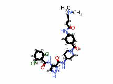 CN(C)CC=CC(=O)Nc1ccc(C(=O)N2CCC(NC(=O)c3n[nH]cc3NC(=O)c3c(Cl)cccc3Cl)CC2)cc1